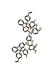 C=Cc1ccc(C2(c3cc(C)ccc3C)c3ccccc3-c3ccc(N(c4ccc(N(c5ccc6c(c5)C(c5ccc(C=C)cc5)(c5cc(C)ccc5C)c5ccccc5-6)c5ccc(F)c(F)c5F)cc4)c4ccc(F)c(F)c4F)cc32)cc1